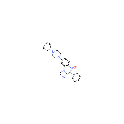 [O-][N+]1=C(c2ccccc2)C2=NCCN2c2cc(N3CCN(c4ccccc4)CC3)ccc21